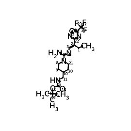 CC/C(=C\N=C(/N)N1CCC(CNC(=O)OC(C)(C)C)CC1)c1noc(C(F)(F)F)n1